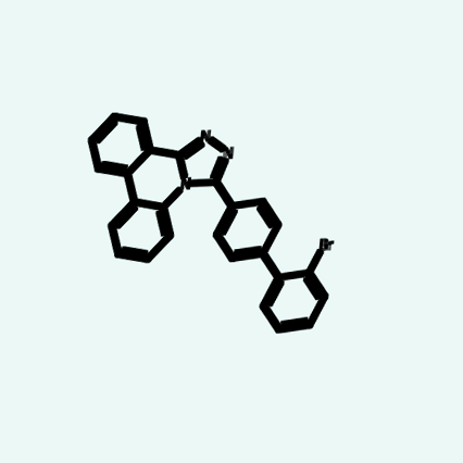 Brc1ccccc1-c1ccc(-c2nnc3c4ccccc4c4ccccc4n23)cc1